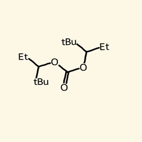 CCC(OC(=O)OC(CC)C(C)(C)C)C(C)(C)C